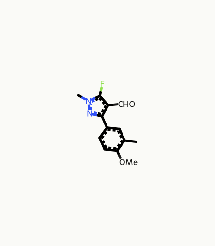 COc1ccc(-c2nn(C)c(F)c2C=O)cc1C